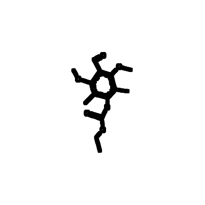 CCOC(=O)Oc1c(C)c(OC)c(C=O)c(OC)c1C